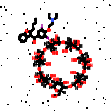 CCCCc1oc2ccccc2c1C(=O)c1cc(I)c(OCCN(CC)CC)c(I)c1.OC[C@H]1O[C@@H]2O[C@H]3[C@H](O)[C@@H](O)[C@@H](O[C@H]4[C@H](O)[C@@H](O)[C@@H](O[C@H]5[C@H](O)[C@@H](O)[C@@H](O[C@H]6[C@H](O)[C@@H](O)[C@@H](O[C@H]7[C@H](O)[C@@H](O)[C@@H](O[C@H]8[C@H](O)[C@@H](O)[C@@H](O[C@H]1[C@H](O)[C@H]2O)O[C@@H]8CO)O[C@@H]7CO)O[C@@H]6CO)O[C@@H]5CO)O[C@@H]4CO)O[C@@H]3CO